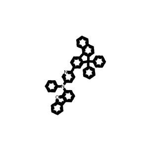 c1ccc(N(c2ccc(-c3ccc4c(c3)C(c3ccccc3)(c3ccccc3)c3ccc5ccccc5c3-4)nc2)c2cccc3c2oc2ccccc23)cc1